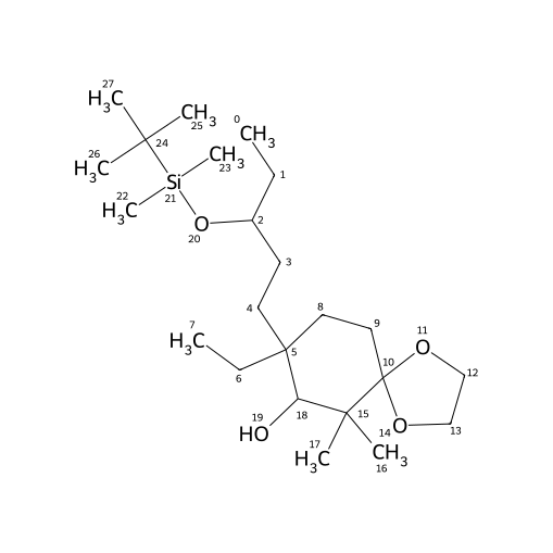 CCC(CCC1(CC)CCC2(OCCO2)C(C)(C)C1O)O[Si](C)(C)C(C)(C)C